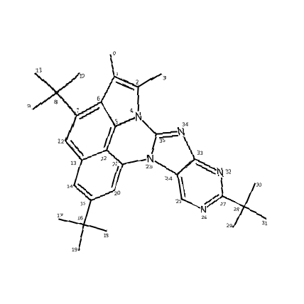 Cc1c(C)n2c3c1c(C(C)(C)C)cc1cc(C(C)(C)C)cc(c13)n1c3cnc(C(C)(C)C)nc3nc21